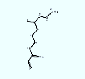 C=CC(=O)OCCCC(C)OOOC